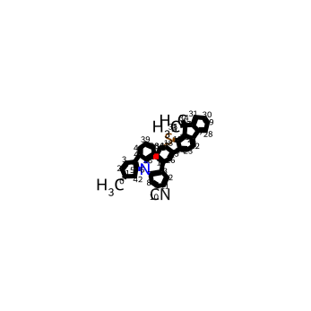 CC1C=Cc2c(n(-c3cc(C#N)ccc3-c3ccc4sc5c6c(ccc5c4c3)-c3ccccc3C6(C)C)c3ccccc23)C1